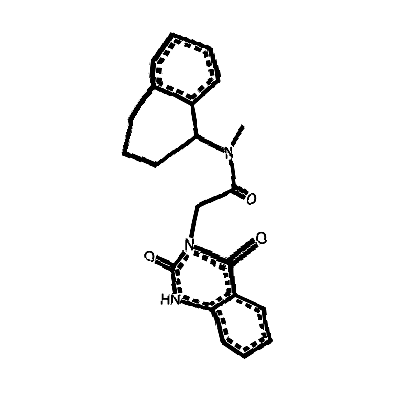 CN(C(=O)Cn1c(=O)[nH]c2ccccc2c1=O)C1CCCc2ccccc21